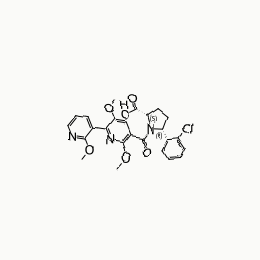 COc1cc(C(=O)N2[C@@H](c3ccccc3Cl)CC[C@H]2C(=O)O)c(OC)nc1-c1cccnc1OC